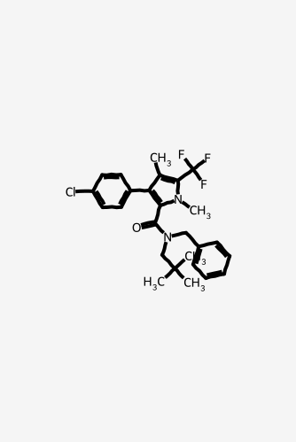 Cc1c(-c2ccc(Cl)cc2)c(C(=O)N(Cc2ccccc2)CC(C)(C)C)n(C)c1C(F)(F)F